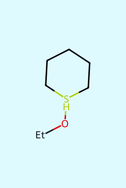 CCO[SH]1CCCCC1